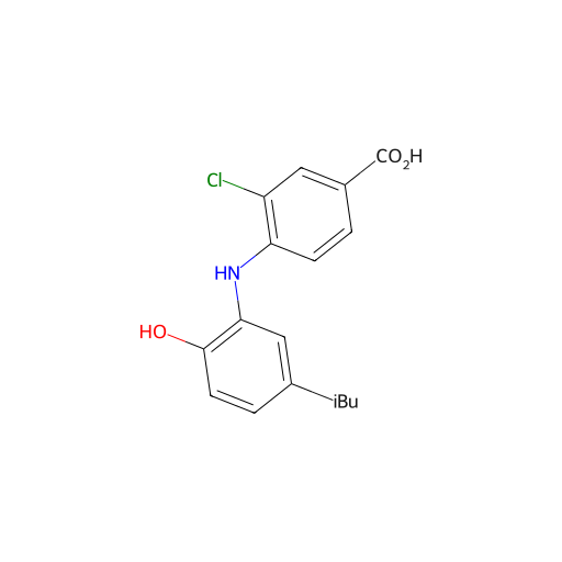 CCC(C)c1ccc(O)c(Nc2ccc(C(=O)O)cc2Cl)c1